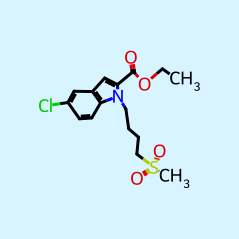 CCOC(=O)c1cc2cc(Cl)ccc2n1CCCCS(C)(=O)=O